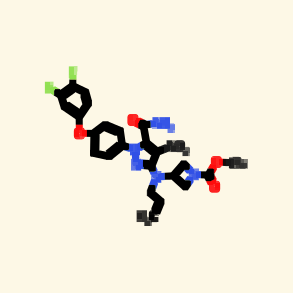 C=CCN(c1nn(-c2ccc(Oc3ccc(F)c(F)c3)cc2)c(C(N)=O)c1[N+](=O)[O-])C1CN(C(=O)OC(C)(C)C)C1